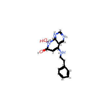 O=c1cc(NCCc2ccccc2)c2cncnc2n1O